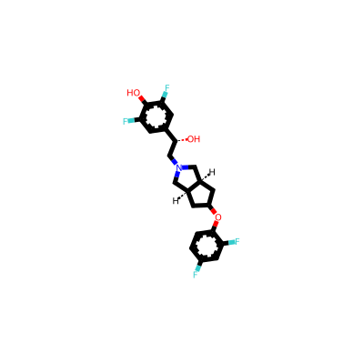 Oc1c(F)cc([C@H](O)CN2C[C@H]3CC(Oc4ccc(F)cc4F)C[C@H]3C2)cc1F